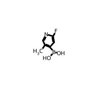 Cc1cnc(F)cc1B(O)O